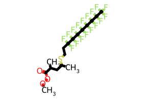 COOC(=O)C(C)CC(C)SCCC(F)(F)C(F)(F)C(F)(F)C(F)(F)C(F)(F)C(F)(F)C(F)(F)C(F)(F)F